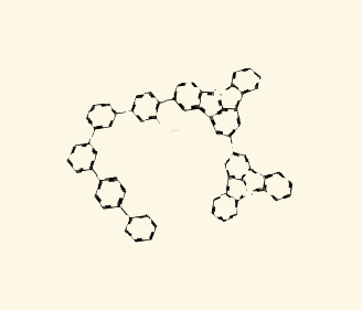 Cc1cc(-c2cccc(-c3cccc(-c4ccc(-c5ccccc5)cc4)c3)c2)ccc1-c1ccc2c(c1)c1cc(-c3cc4c5ccccc5n5c6ccccc6c(c3)c45)cc3c4ccccc4n2c31